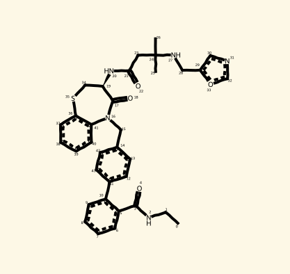 CCNC(=O)c1ccccc1-c1ccc(CN2C(=O)[C@H](NC(=O)CC(C)(C)NCc3cnco3)CSc3ccccc32)cc1